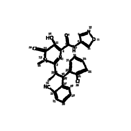 C[C@@H](c1nc(C(=O)Nc2cnoc2)c(O)c(=O)n1C)[C@@H](c1ccccc1Cl)c1ccccc1C#N